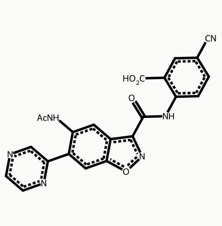 CC(=O)Nc1cc2c(C(=O)Nc3ccc(C#N)cc3C(=O)O)noc2cc1-c1cnccn1